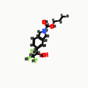 CCCCOC(=O)N1Cc2ccc(C(O)C(F)(F)F)cc2C1